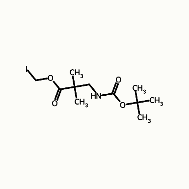 CC(C)(C)OC(=O)NCC(C)(C)C(=O)OCI